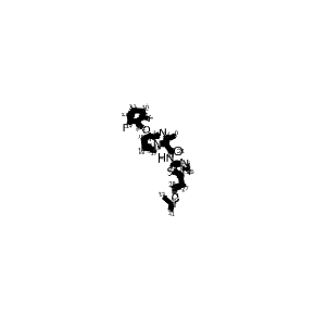 Cc1nc2c(OCc3c(F)cccc3F)cccn2c1C(=O)Nc1nnc(CCOC(C)C)s1